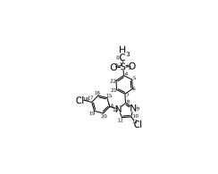 CS(=O)(=O)c1ccc(-c2nc(Cl)cn2-c2ccc(Cl)cc2)cc1